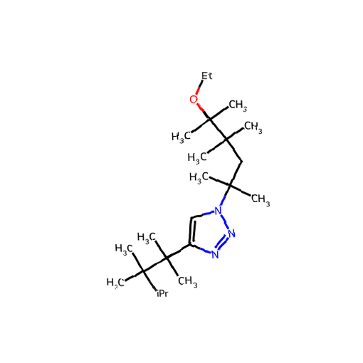 CCOC(C)(C)C(C)(C)CC(C)(C)n1cc(C(C)(C)C(C)(C)C(C)C)nn1